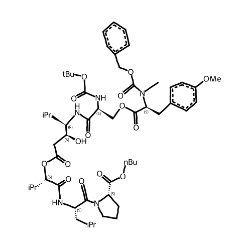 CCCCOC(=O)[C@@H]1CCCN1C(=O)[C@H](CC(C)C)NC(=O)[C@@H](OC(=O)C[C@H](O)[C@H](NC(=O)[C@H](COC(=O)[C@H](Cc1ccc(OC)cc1)N(C)C(=O)OCc1ccccc1)NC(=O)OC(C)(C)C)C(C)C)C(C)C